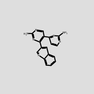 Nc1nccc(-c2cnc(N)nc2-c2cnc3ccccc3c2)n1